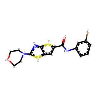 O=C(Nc1cccc(Br)c1)c1cc2sc(N3CCOCC3)nc2s1